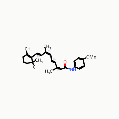 COc1ccc(NC(=O)\C=C(C)/C=C/C=C(C)\C=C\C2=C(C)CCCC2(C)C)cc1